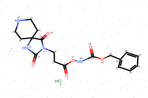 Cl.O=C(CCN1C(=O)NC2(CCNCC2)C1=O)ONC(=O)OCc1ccccc1